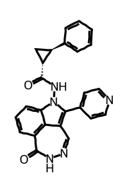 O=C1NN=Cc2c(-c3ccncc3)n(NC(=O)[C@@H]3C[C@H]3c3ccccc3)c3cccc1c23